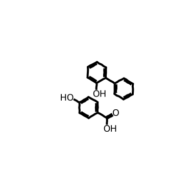 O=C(O)c1ccc(O)cc1.Oc1ccccc1-c1ccccc1